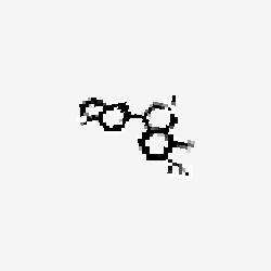 CN1Cc2c(ccc(C#N)c2F)C(c2ccc3occc3c2)C1